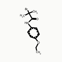 CCOc1ccc(NC(=O)C(C)(C)Br)cc1